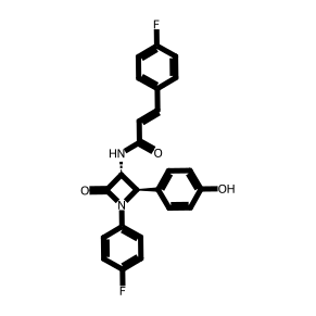 O=C(C=Cc1ccc(F)cc1)N[C@H]1C(=O)N(c2ccc(F)cc2)[C@@H]1c1ccc(O)cc1